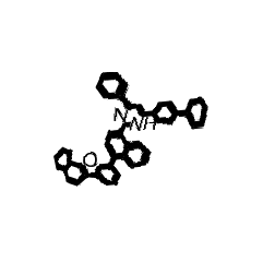 C1=C(c2ccc(-c3ccccc3)cc2)NC(c2ccc(-c3cccc4c3oc3c5ccccc5ccc43)c3ccccc23)N=C1c1ccccc1